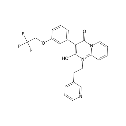 O=c1c(-c2cccc(OCC(F)(F)F)c2)c(O)[n+](CCc2cccnc2)c2ccccn12